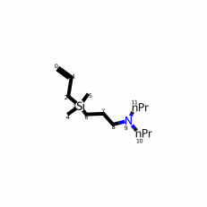 C=CC[Si](C)(C)CCCN(CCC)CCC